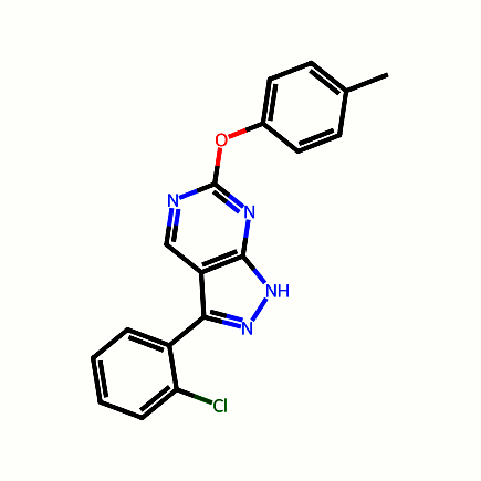 Cc1ccc(Oc2ncc3c(-c4ccccc4Cl)n[nH]c3n2)cc1